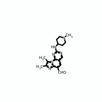 Cc1nc2c(C=O)cc3cnc(NC4CCN(C)CC4)nc3n2c1C